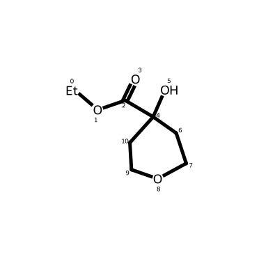 CCOC(=O)C1(O)CCOCC1